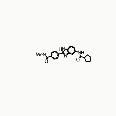 CNC(=O)c1ccc(-c2nc3cc(NC(=O)C4CCCC4)ccc3[nH]2)cc1